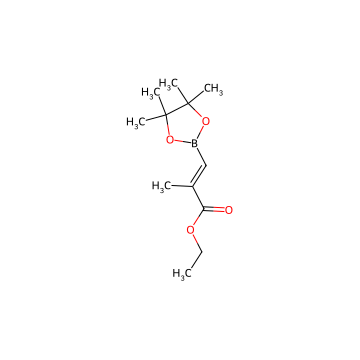 CCOC(=O)/C(C)=C/B1OC(C)(C)C(C)(C)O1